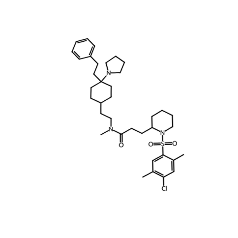 Cc1cc(S(=O)(=O)N2CCCCC2CCC(=O)N(C)CCC2CCC(CCc3ccccc3)(N3CCCC3)CC2)c(C)cc1Cl